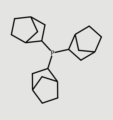 C1CC2CC1CC2P(C1CC2CCC1C2)C1CC2CCC1C2